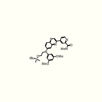 CNC(=O)c1cc(-c2cnc3ccc(N(CCO[Si](C)(C)C(C)(C)C)c4cc(OC)cc(OC)c4)cc3n2)ccn1